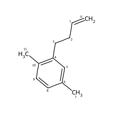 C=CCCc1cc(C)ccc1C